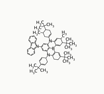 CC1C=C2C(=CC1C(C)(C)C)B1C3=C(CCC(C(C)(C)C)=C3)N(C3C=CC(C(C)(C)C)=CC3)c3cc(-n4c5ccccc5c5ccccc54)cc(c31)N2C1=CCC(C(C)(C)C)C(C)C1